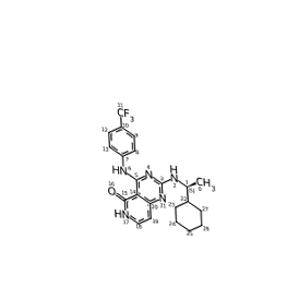 C[C@H](Nc1nc(Nc2ccc(C(F)(F)F)cc2)c2c(=O)[nH]ccc2n1)C1CCCCC1